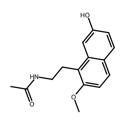 COc1ccc2ccc(O)cc2c1CCNC(C)=O